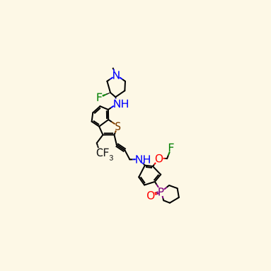 CN1CC[C@H](Nc2cccc3c(CC(F)(F)F)c(C#CCNc4ccc(P5(=O)CCCCC5)cc4OCF)sc23)[C@@H](F)C1